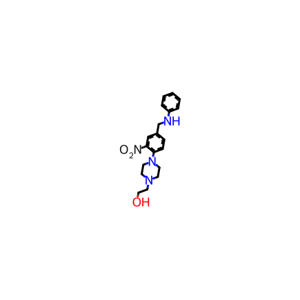 O=[N+]([O-])c1cc(CNc2ccccc2)ccc1N1CCN(CCO)CC1